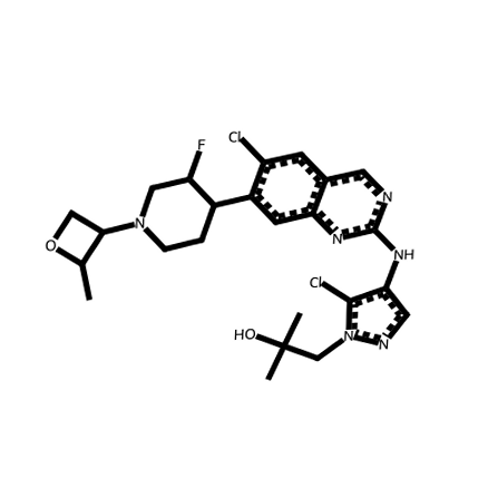 CC1OCC1N1CCC(c2cc3nc(Nc4cnn(CC(C)(C)O)c4Cl)ncc3cc2Cl)C(F)C1